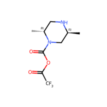 C[C@@H]1CN[C@@H](C)CN1C(=O)OC(=O)C(F)(F)F